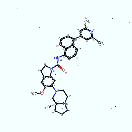 COc1cc2c(cc1N1CCN3CCC[C@H]3C1)N(C(=O)Nc1cccc3c(-c4cc(C)nc(C)c4)cccc13)CC2